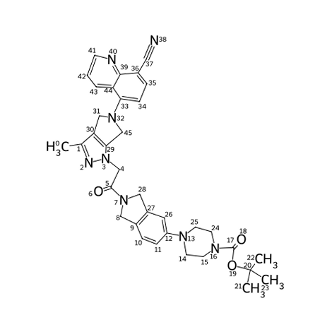 Cc1nn(CC(=O)N2Cc3ccc(N4CCN(C(=O)OC(C)(C)C)CC4)cc3C2)c2c1CN(c1ccc(C#N)c3ncccc13)C2